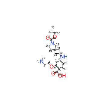 CN(C)CCOc1cc(NC2CC3(CCN(C(=O)OC(C)(C)C)C3)C2)ccc1C(=O)O